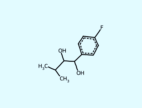 CC(C)C(O)C(O)c1ccc(F)cc1